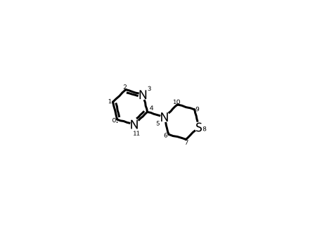 [c]1ccnc(N2CCSCC2)n1